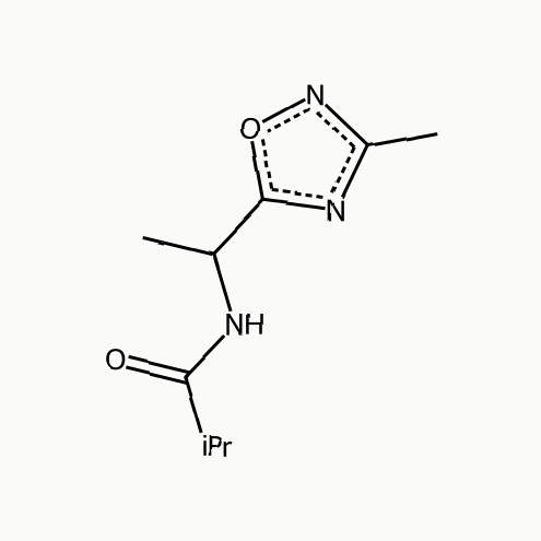 Cc1noc(C(C)NC(=O)C(C)C)n1